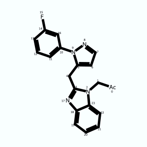 CC(=O)Cn1c(Cc2ccnn2-c2cccc(F)c2)nc2ccccc21